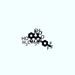 COc1c(O)ccc2c1c(O)c(C(=O)N(C)c1ccc(C(F)(F)F)cc1)c(=O)n2C